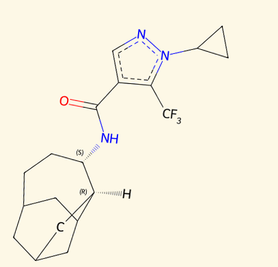 O=C(N[C@H]1CCC2CC3CC(C2)[C@H]1C3)c1cnn(C2CC2)c1C(F)(F)F